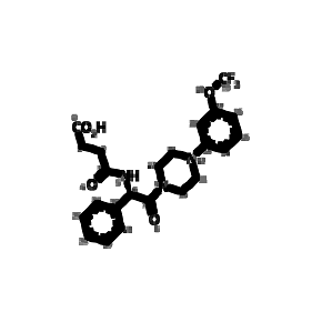 O=C(O)CCC(=O)N[C@@H](C(=O)N1CCN(c2cccc(OC(F)(F)F)c2)CC1)c1ccccc1